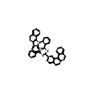 c1ccc(-c2nc(-c3ccc4ccc5ccc6ccccc6c5c4c3)nc(-c3ccccc3-n3c4ccccc4c4ccc5ccccc5c43)n2)cc1